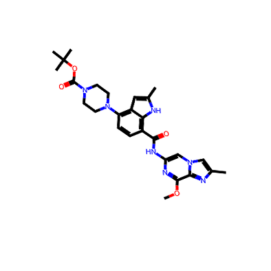 COc1nc(NC(=O)c2ccc(N3CCN(C(=O)OC(C)(C)C)CC3)c3cc(C)[nH]c23)cn2cc(C)nc12